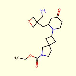 CCOC(=O)N1CCC2(CC(N3CCC(=O)CC3CC3(CN)COC3)C2)C1